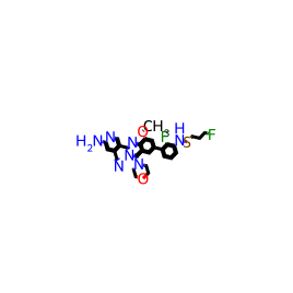 COc1cc(-c2cccc(NSCCCF)c2F)cc2c(N3CCOCC3)nc(-c3cnc(N)cc3C#N)nc12